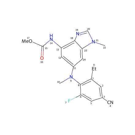 CCc1cc(C#N)cc(F)c1N(C)c1cc(NC(=O)OC)c2ncn(C)c2c1